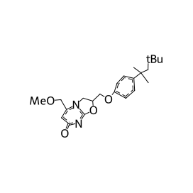 COCc1cc(=O)nc2n1CC(COc1ccc(C(C)(C)CC(C)(C)C)cc1)O2